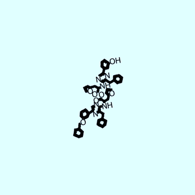 O=C(OC(=O)C(Cc1ccco1)Nc1ncc(-c2cccc(OCc3ccccc3)c2)nc1Cc1ccccc1)C(Cc1ccco1)Nc1ncc(-c2cccc(O)c2)nc1Cc1ccccc1